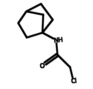 O=C(CCl)NC12CCC(CC1)C2